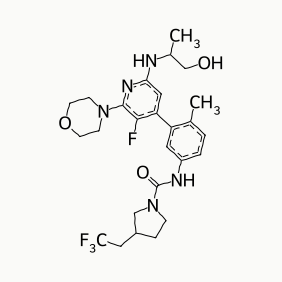 Cc1ccc(NC(=O)N2CCC(CC(F)(F)F)C2)cc1-c1cc(NC(C)CO)nc(N2CCOCC2)c1F